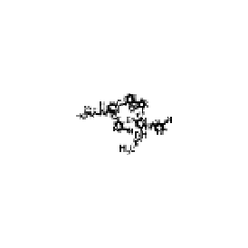 CCCCNCc1cc(Br)c(OCc2cccc(-c3cccc(COc4ccc(CNCCCC(=O)O)c(OCc5cncc(C#N)c5)n4)c3Cl)c2Cl)nc1OCc1cncc(C#N)c1